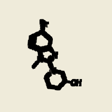 Cn1c(N2CCC[C@@H](O)C2)nc2cc(Br)ccc21